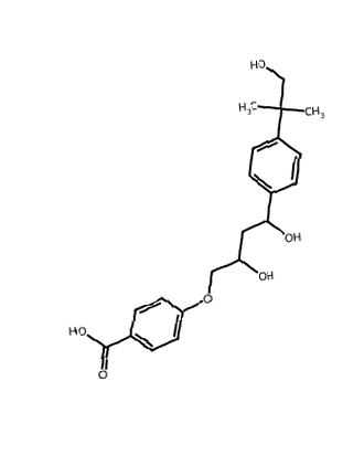 CC(C)(CO)c1ccc(C(O)CC(O)COc2ccc(C(=O)O)cc2)cc1